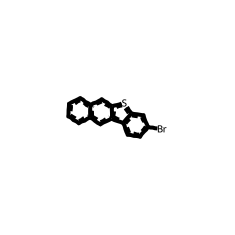 Brc1ccc2c(c1)sc1cc3ccccc3cc12